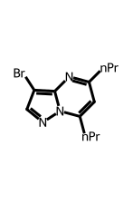 CCCc1cc(CCC)n2ncc(Br)c2n1